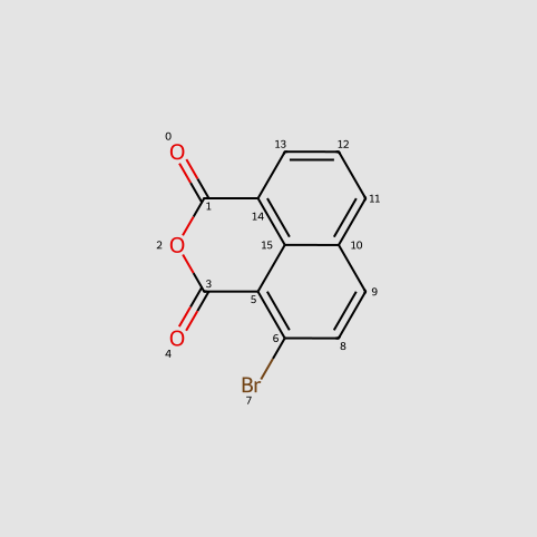 O=C1OC(=O)c2c(Br)ccc3cccc1c23